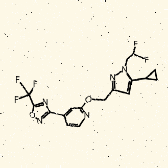 FC(F)Cn1nc(COc2cc(-c3noc(C(F)(F)F)n3)ccn2)cc1C1CC1